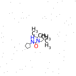 CCC(C)N(CC(C)C)C(=O)NC1CCCC1